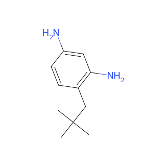 CC(C)(C)Cc1ccc(N)cc1N